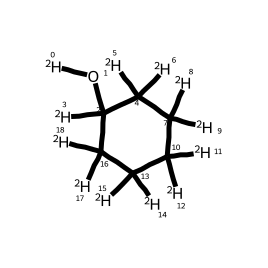 [2H]OC1([2H])C([2H])([2H])C([2H])([2H])C([2H])([2H])C([2H])([2H])C1([2H])[2H]